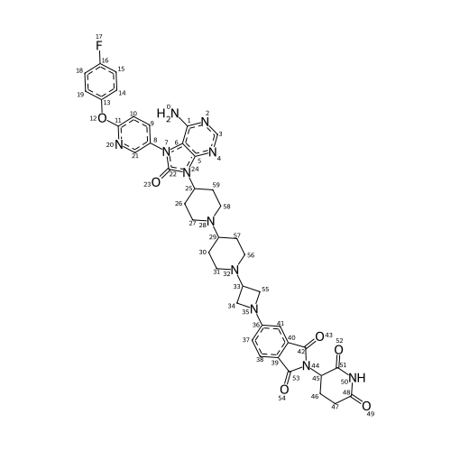 Nc1ncnc2c1n(-c1ccc(Oc3ccc(F)cc3)nc1)c(=O)n2C1CCN(C2CCN(C3CN(c4ccc5c(c4)C(=O)N(C4CCC(=O)NC4=O)C5=O)C3)CC2)CC1